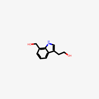 OCCc1c[nH]c2c(CO)cccc12